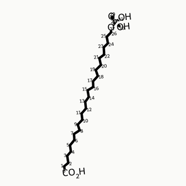 O=C(O)CCCCCCCCCCCCCCCCCCCCCCCCCCOP(=O)(O)O